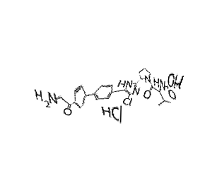 CC(C)[C@H](NC(=O)O)C(=O)N1CCC[C@H]1c1nc(Cl)c(-c2ccc(-c3ccc(C(=O)CN)cc3)cc2)[nH]1.Cl